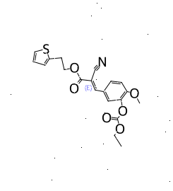 CCOC(=O)Oc1cc(/C=C(\C#N)C(=O)OCCc2cccs2)ccc1OC